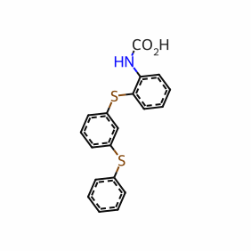 O=C(O)Nc1ccccc1Sc1cccc(Sc2ccccc2)c1